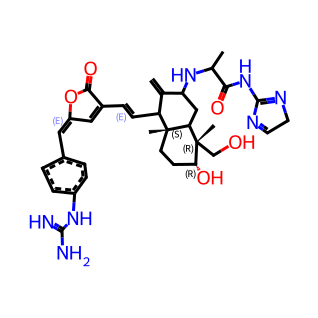 C=C1C(NC(C)C(=O)NC2=NCC=N2)CC2[C@](C)(CC[C@@H](O)[C@@]2(C)CO)C1/C=C/C1=CC(=C\c2ccc(NC(=N)N)cc2)/OC1=O